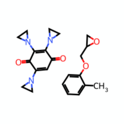 Cc1ccccc1OCC1CO1.O=C1C=C(N2CC2)C(=O)C(N2CC2)=C1N1CC1